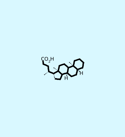 C[C@H](CCC(=O)O)[C@H]1CCC2[C@@H]3CC[C@@H]4CCCC[C@]4(C)C3CC[C@@]21C